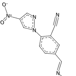 N#Cc1cc(C=NO)ccc1-n1cc([N+](=O)[O-])cn1